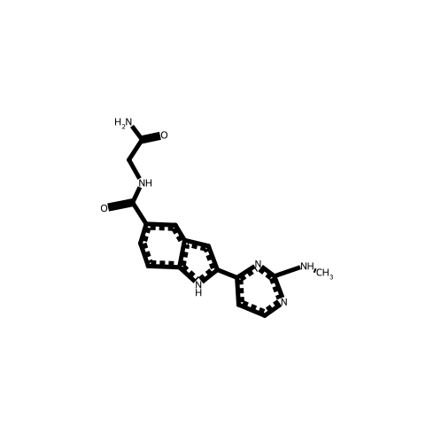 CNc1nccc(-c2cc3cc(C(=O)NCC(N)=O)ccc3[nH]2)n1